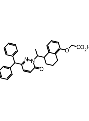 CC(C1CCCc2c(OCC(=O)O)cccc21)n1nc(C(c2ccccc2)c2ccccc2)ccc1=O